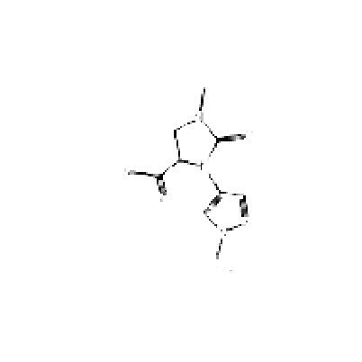 CN1CC(C(N)=O)N(c2cnn(C(F)(F)F)c2)C1=O